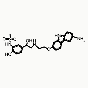 CS(=O)(=O)Nc1cc(C(O)CNCCOc2ccc3c(c2)[nH]c2ccc(N)cc23)ccc1O